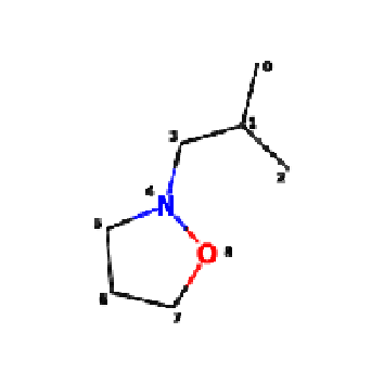 CC(C)CN1CCCO1